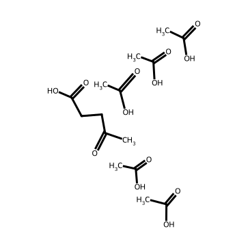 CC(=O)CCC(=O)O.CC(=O)O.CC(=O)O.CC(=O)O.CC(=O)O.CC(=O)O